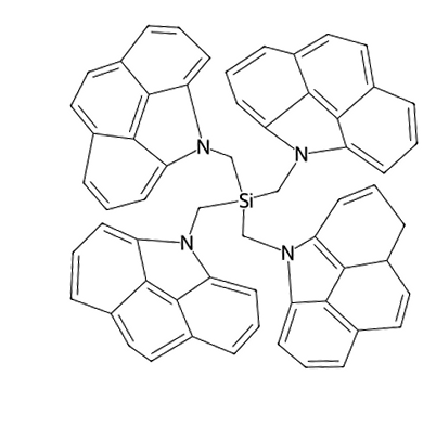 C1=Cc2c3c4c(cccc4n2C[Si](Cn2c4cccc5ccc6cccc2c6c54)(Cn2c4cccc5ccc6cccc2c6c54)Cn2c4cccc5ccc6cccc2c6c54)C=CC3C1